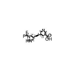 N=C/C(C#Cc1cncc(C(=O)O)c1)=C\NC(F)F